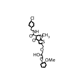 COc1ccccc1OC[C@H](O)COCc1cc2c(=O)c(C(=O)NCc3ccc(Cl)cc3)cn(C)c2s1